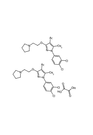 CC(=O)c1c(OCCN2CCCC2)nn(-c2ccc(Cl)c(Cl)c2)c1C.CC(=O)c1c(OCCN2CCCC2)nn(-c2ccc(Cl)c(Cl)c2)c1C.O=C(O)C(=O)O